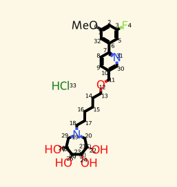 COc1cc(F)cc(-c2ccc(COCCCCCCN3C[C@H](O)[C@@H](O)[C@H](O)[C@@H](O)C3)cn2)c1.Cl